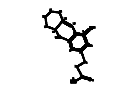 O=C(O)CCc1cc2c(c(=O)o1)C=C1CCCCC1O2